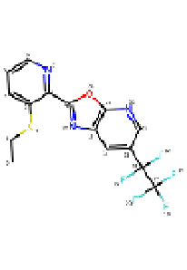 CCSc1cccnc1-c1nc2cc(C(F)(F)C(F)(F)F)cnc2o1